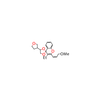 CCC1=C(/C=C\COC)Oc2ccccc2C12OCC(C1CCOC1)O2